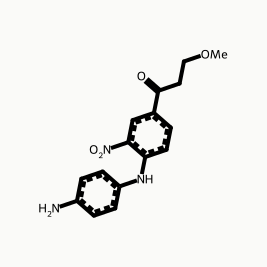 COCCC(=O)c1ccc(Nc2ccc(N)cc2)c([N+](=O)[O-])c1